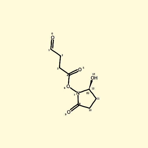 O=CCCC(=O)ON1C(=O)CC[C@@H]1O